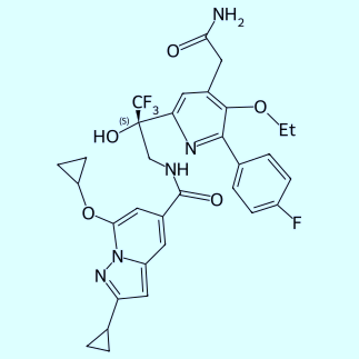 CCOc1c(CC(N)=O)cc([C@@](O)(CNC(=O)c2cc(OC3CC3)n3nc(C4CC4)cc3c2)C(F)(F)F)nc1-c1ccc(F)cc1